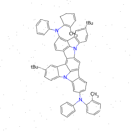 CC1=C(N(c2ccccc2)c2ccc3c4c5c6cc(C(C)(C)C)ccc6n6c7cc(N(c8ccccc8)c8ccccc8C)ccc7c(cc4n4c7ccc(C(C)(C)C)cc7c2c34)c56)CCC=C1